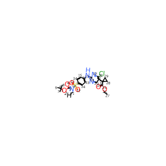 [2H]CN(C(=O)OC(C)(C)C)S(=O)(=O)c1ccc(Nc2ncc(C3(C(=O)OCC)CC3)c(Cl)n2)cc1